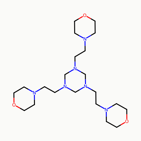 C1CN(CCN2CN(CCN3CCOCC3)CN(CCN3CCOCC3)C2)CCO1